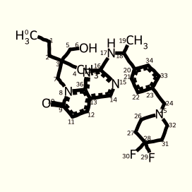 CCCC(C)(CO)Cn1c(=O)ccc2cnc(NC(C)c3ccc(CN4CCC(F)(F)CC4)cc3)nc21